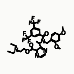 CCN(CC)CCOC(=O)c1nccnc1C(C)N(Cc1ccc(OC)cc1OC)C(=O)c1cc(C(F)(F)F)cc(C(F)(F)F)c1